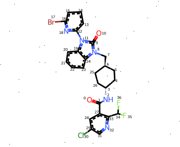 O=C(N[C@H]1CC[C@H](Cn2c(=O)n(-c3cccc(Br)n3)c3ccccc32)CC1)c1cc(Cl)cnc1C(F)F